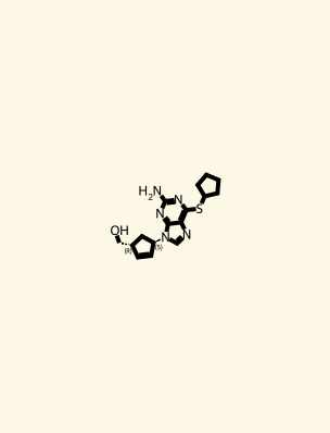 Nc1nc(SC2CCCC2)c2ncn([C@@H]3C=C[C@H](CO)C3)c2n1